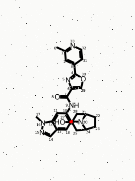 Cc1cc(-c2nc(C(=O)Nc3cc4c(cnn4C)cc3N3C4CCC3CC(O)C4)co2)ccn1